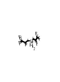 FC(F)C(F)C[SiH2]CC(F)C(F)F